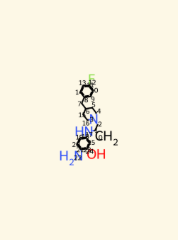 C=C(CN1CCC(Cc2ccc(F)cc2)CC1)Nc1ccc(N)c(O)c1